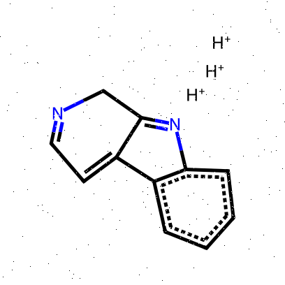 C1=NCC2=Nc3ccccc3C2=C1.[H+].[H+].[H+]